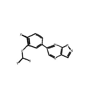 Fc1ccc(-c2cnc3c(n2)[N]N=C3)cc1OC(F)F